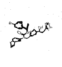 CC(NC(=O)N(Cc1ccc(C(O)Cc2nn[nH]n2)cc1)c1ccc2c(c1)CCC2)c1ccc(Br)cc1